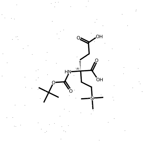 CC(C)(C)OC(=O)N[C@](CCC(=O)O)(CC[Si](C)(C)C)C(=O)O